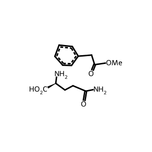 COC(=O)Cc1ccccc1.NC(=O)CC[C@H](N)C(=O)O